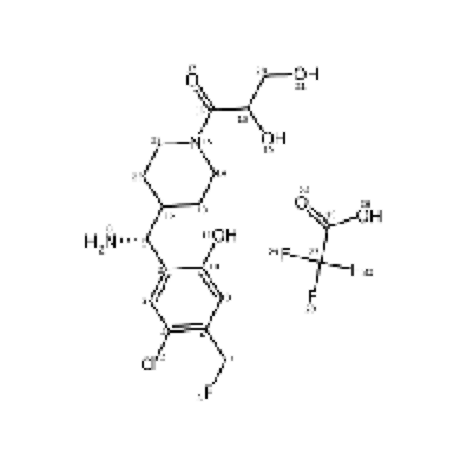 N[C@@H](c1cc(Cl)c(CF)cc1O)C1CCN(C(=O)C(O)CO)CC1.O=C(O)C(F)(F)F